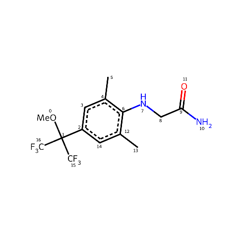 COC(c1cc(C)c(NCC(N)=O)c(C)c1)(C(F)(F)F)C(F)(F)F